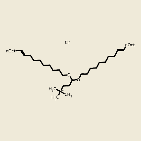 CCCCCCCCC=CCCCCCCCCOC(CC[N+](C)(C)C)OCCCCCCCCC=CCCCCCCCC.[Cl-]